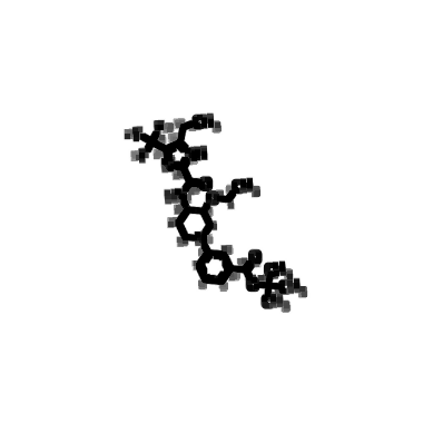 CCO[C@H]1CN(c2cccc(C(=O)OC(C)(C)C)c2)CC[C@H]1NC(=O)c1nc(C(F)(F)F)c(CC)[nH]1